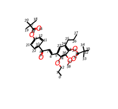 CCCOc1c(C=CC(=O)c2ccc(OC(=O)C(C)(C)C)cc2)cc(CCC)c(OC(=O)C(C)(C)C)c1OC